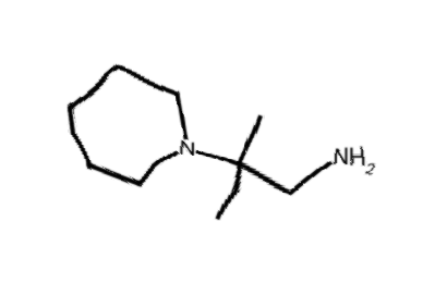 CC(C)(CN)N1CCCCC1